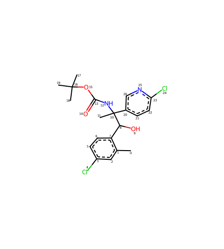 Cc1cc(Cl)ccc1C(O)C(C)(NC(=O)OC(C)(C)C)c1ccc(Cl)nc1